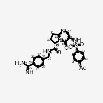 CC(=O)c1ccc(S(=O)(=O)Nc2cnc3n(c2=O)[C@H](C(=O)NCc2ccc(C(=N)N)cc2)CC3)cc1